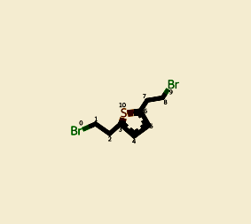 BrCCc1ccc(CCBr)s1